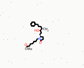 COC(=O)CCC/C=C/CN1C(=O)CC[C@@H]1CC[C@@H](O)[C@@H](C)CCCc1ccccc1